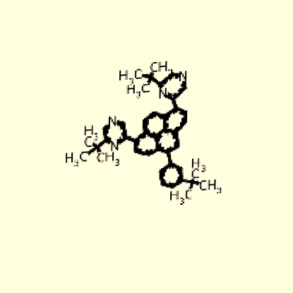 CC(C)(C)c1cccc(-c2cc3ccc(-c4cncc(C(C)(C)C)n4)c4ccc5c(-c6cncc(C(C)(C)C)n6)ccc2c5c34)c1